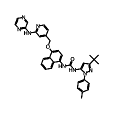 Cc1ccc(-n2nc(C(C)(C)C)cc2NC(=O)Nc2ccc(OCc3ccnc(Nc4cnccn4)c3)c3ccccc23)cc1